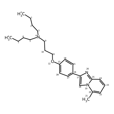 CCCCN(CCCC)CCCOc1ccc(-c2cn3c(C)cccc3n2)cc1